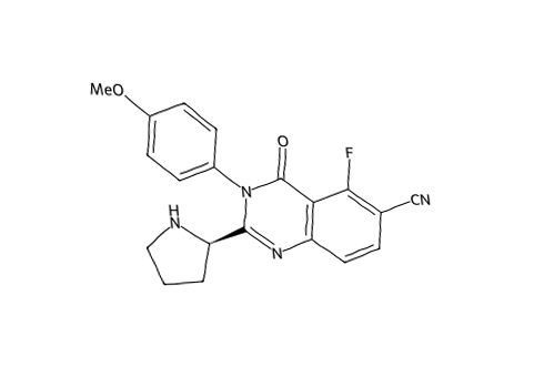 COc1ccc(-n2c([C@H]3CCCN3)nc3ccc(C#N)c(F)c3c2=O)cc1